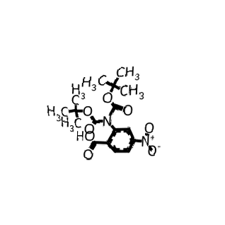 CC(C)(C)OC(=O)N(C(=O)OC(C)(C)C)c1cc([N+](=O)[O-])ccc1C(=O)O